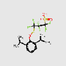 CC(C)c1cccc(C(C)C)c1OSC(F)(F)C(F)(F)C(F)(F)S(=O)(=O)O